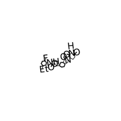 CCc1ccc(F)c(NC(=O)OCc2ccc3c(c2)C(=O)N(C2CCC(=O)NC2=O)C3)c1